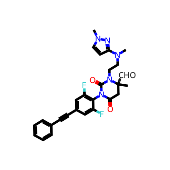 CN(CCN1C(=O)N(c2c(F)cc(C#Cc3ccccc3)cc2F)C(=O)CC1(C)C=O)c1ccn(C)n1